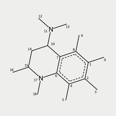 Cc1c(C)c(C)c2c(c1C)C(N(C)C)CC(C)N2C